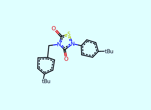 CC(C)(C)c1ccc(Cn2c(=O)sn(-c3ccc(C(C)(C)C)cc3)c2=O)cc1